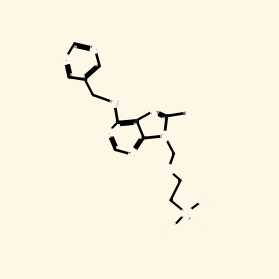 C[Si](C)(C)CCOCn1c(I)nc2c(NCc3cncnc3)ncnc21